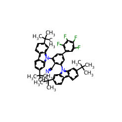 CC(C)(C)c1ccc2c3ccc(C(C)(C)C)cc3n(-c3cc(-c4cc(F)c(F)c(F)c4F)cc(-n4c5cc(C(C)(C)C)ccc5c5ccc(C(C)(C)C)cc54)c3C#N)c2c1